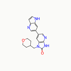 O=c1[nH]c2ncc(-c3cnc4cc[nH]c4c3)cc2n1CC1CCOCC1